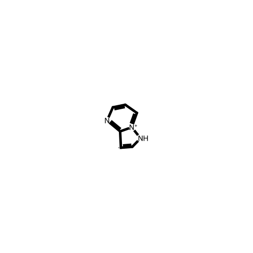 [c]1c[nH][n+]2cccnc12